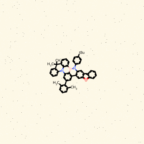 Cc1cccc(C)c1-c1cc2c3c(c1)N1c4ccccc4C(C)(C)c4cccc(c41)B3N(c1ccc(C(C)(C)C)cc1)c1cc3c(cc1-2)oc1ccccc13